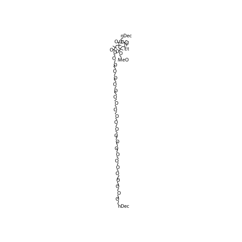 CCCCCCCCCCCCOCCOCCOCCOCCOCCOCCOCCOCCOCCOCCOCCOCCOCCOCCOCCOCCOCCOCCOCCOCCOCCOCCOCCOC(=O)C(C)(C)CC(C)(CC(C)(CC(CC)N1CCCC1=O)C(=O)OCCOC)C(=O)OCCCCCCCCCCCC